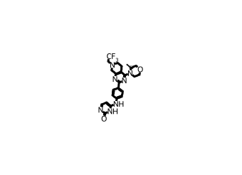 C[C@H]1COCCN1c1nc(-c2ccc(Nc3ccnc(=O)[nH]3)cc2)nc2c1CCN(CC(F)(F)F)C2